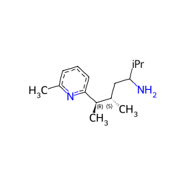 Cc1cccc([C@H](C)[C@@H](C)CC(N)C(C)C)n1